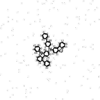 c1ccc(-c2ccc(N(c3ccc4oc5ccccc5c4c3)c3ccc4c5c(-c6ccccc6)cccc5n(-c5ccccc5)c4c3)cc2)cc1